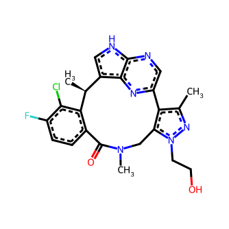 Cc1nn(CCO)c2c1-c1cnc3[nH]cc(c3n1)[C@H](C)c1c(ccc(F)c1Cl)C(=O)N(C)C2